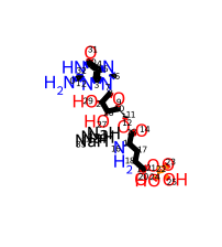 Nc1nc2c(ncn2[C@@H]2O[C@H](COC(=O)[C@@H](N)CCC(=O)OP(=O)(O)O)[C@@H](O)[C@H]2O)c(=O)[nH]1.[NaH].[NaH].[NaH]